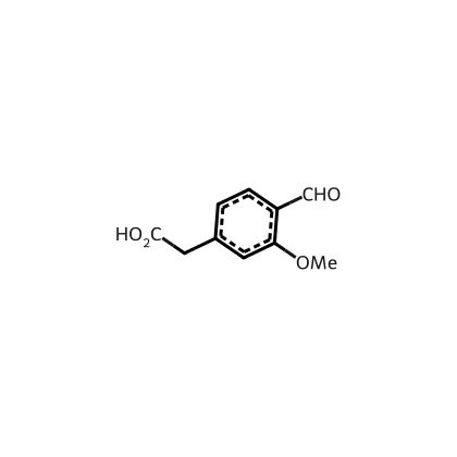 COc1cc(CC(=O)O)ccc1C=O